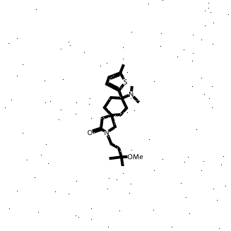 COC(C)(C)CCN1CC2(CCC(c3ccc(C)s3)(N(C)C)CC2)CC1=O